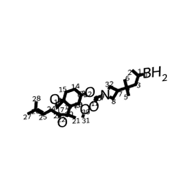 BC(C)CC(C)(C)C1CN(C(=O)O[C@@H]2CCC3(CO3)C(C3(C)OC3CC=C(C)C)[C@@H]2OC)C1